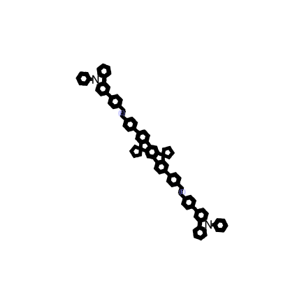 C(=C\c1ccc(-c2ccc3c(c2)c2ccccc2n3-c2ccccc2)cc1)/c1ccc(-c2ccc3c(c2)C2(CCCC2)c2cc4c(cc2-3)C2(CCCC2)c2cc(-c3ccc(/C=C/c5ccc(-c6ccc7c(c6)c6ccccc6n7-c6ccccc6)cc5)cc3)ccc2-4)cc1